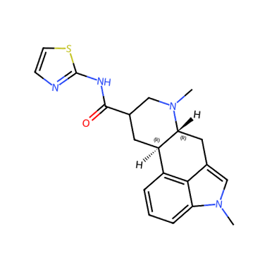 CN1CC(C(=O)Nc2nccs2)C[C@@H]2c3cccc4c3c(cn4C)C[C@H]21